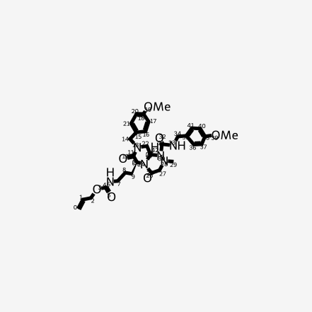 C=CCOC(=O)NCCC[C@H]1C(=O)N(Cc2ccc(OC)cc2)C[C@H]2N1C(=O)CN(C)N2C(=O)NCc1ccc(OC)cc1